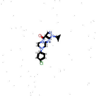 O=c1c2cnn(C3CC3)c2nc2n1CCN(c1ccc(Cl)cc1)C2